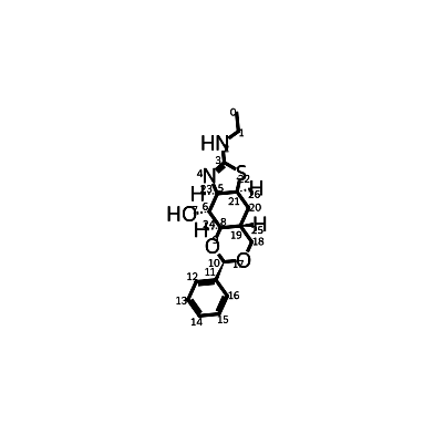 CCNC1=N[C@@H]2[C@@H](O)[C@@H]3O[C@H](c4ccccc4)OC[C@H]3C[C@@H]2S1